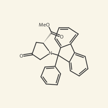 COC(=O)[C@H]1CC(=O)CN1C1(c2ccccc2)c2ccccc2-c2ccccc21